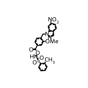 COc1cc(C(=O)ONS(=O)(=O)c2ccccc2C)ccc1Cn1ncc2ccc([N+](=O)[O-])cc21